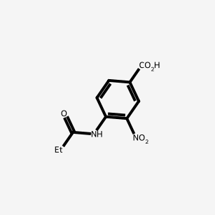 CCC(=O)Nc1ccc(C(=O)O)cc1[N+](=O)[O-]